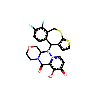 O=C1c2c(O)c(=O)ccn2N(C2c3ccsc3SCc3c2ccc(F)c3F)C2COCCN12